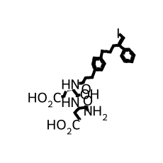 NC(=O)C(CCC(=O)O)NC(O)[C@H](CCC(=O)O)NC(=O)CCc1ccc(CCC/C(=C\I)c2ccccc2)cc1